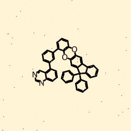 c1ccc(C2(c3ccccc3)c3ccccc3-c3cc4c(cc32)Oc2c(cccc2-c2cccc(-c3cccc5ncncc35)c2)O4)cc1